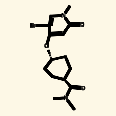 CN(C)C(=O)[C@H]1CC[C@H](Oc2cc(=O)n(C)cc2Br)CC1